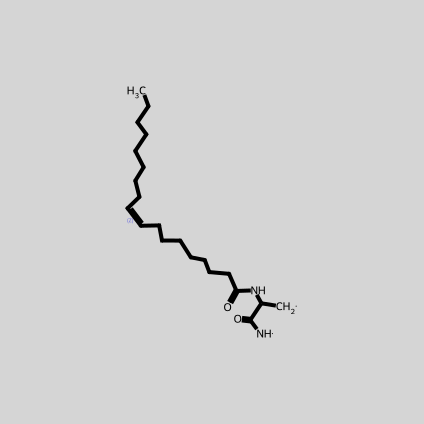 [CH2]C(NC(=O)CCCCCCC/C=C\CCCCCCCC)C([NH])=O